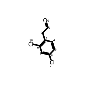 O=[C]Cc1ccc(Cl)cc1Cl